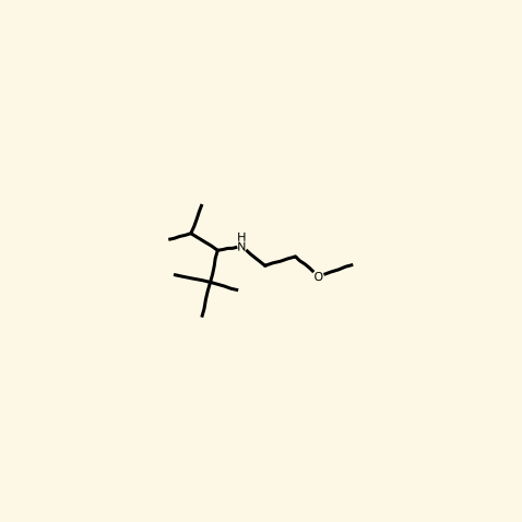 COCCNC(C(C)C)C(C)(C)C